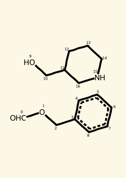 O=COCc1ccccc1.OCC1CCCNC1